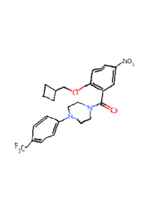 O=C(c1cc([N+](=O)[O-])ccc1OCC1CCC1)N1CCN(c2ccc(C(F)(F)F)cc2)CC1